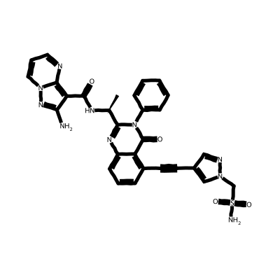 C[C@H](NC(=O)c1c(N)nn2cccnc12)c1nc2cccc(C#Cc3cnn(CS(N)(=O)=O)c3)c2c(=O)n1-c1ccccc1